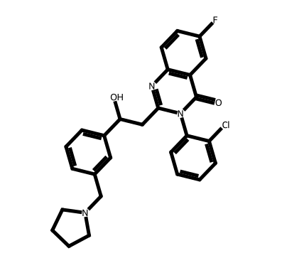 O=c1c2cc(F)ccc2nc(CC(O)c2cccc(CN3CCCC3)c2)n1-c1ccccc1Cl